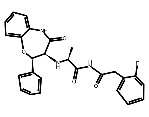 C[C@H](N[C@@H]1C(=O)Nc2ccccc2O[C@@H]1c1ccccc1)C(=O)NC(=O)Cc1ccccc1F